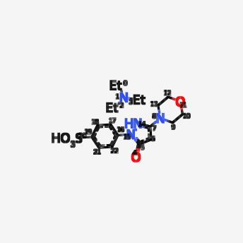 CCN(CC)CC.O=c1cc(N2CCOCC2)[nH]n1-c1ccc(S(=O)(=O)O)cc1